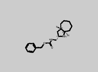 O=C(NC[C@@H]1C[C@@H]2CCCCC[C@H]2N1)OCc1ccccc1